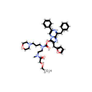 CN(CCN(CCCN1CCOCC1)C(=O)Oc1c(Cc2ccco2)nc2c(Cc3ccccc3)nc(-c3ccccc3)cn12)C(=O)COCC(=O)O